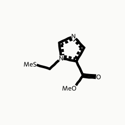 COC(=O)c1cncn1CSC